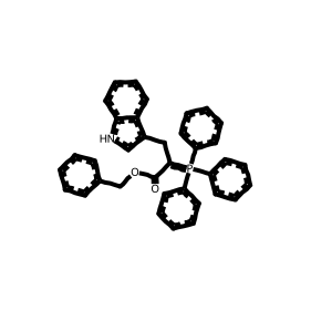 O=C(OCc1ccccc1)C(Cc1c[nH]c2ccccc12)=P(c1ccccc1)(c1ccccc1)c1ccccc1